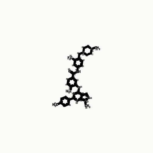 Cc1ccc(-c2nc(Oc3cc(C(=O)Nc4ccc(CN5CCN(C)CC5)c(C(F)(F)F)c4)ccc3C)c3cnn(C)c3n2)cc1